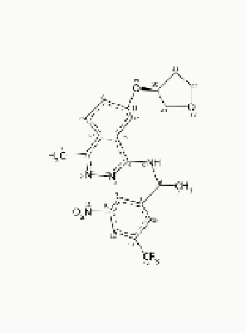 Cc1nnc(NC(C)c2cc([N+](=O)[O-])cc(C(F)(F)F)c2)c2cc(O[C@H]3CCOC3)ccc12